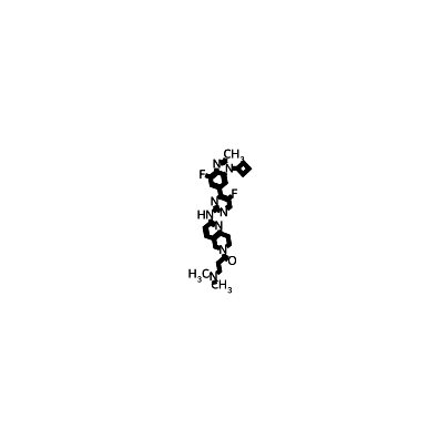 Cc1nc2c(F)cc(-c3nc(Nc4ccc5c(n4)CCN(C(=O)CCN(C)C)C5)ncc3F)cc2n1C1CCC1